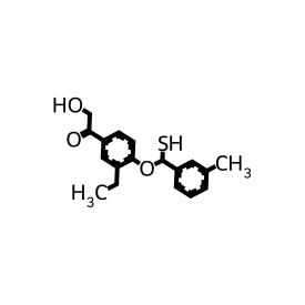 CCc1cc(C(=O)CO)ccc1OC(S)c1cccc(C)c1